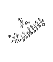 FC(F)(F)C(F)(F)OC(F)(F)C(F)(F)C(F)(F)C(F)(F)C(F)(F)C(F)(F)C(F)(F)C(F)(F)Cl.O=[S-](=O)O.[K+]